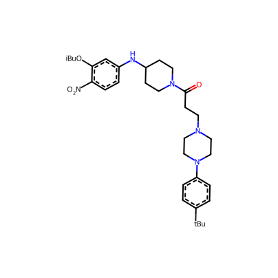 CC(C)COc1cc(NC2CCN(C(=O)CCN3CCN(c4ccc(C(C)(C)C)cc4)CC3)CC2)ccc1[N+](=O)[O-]